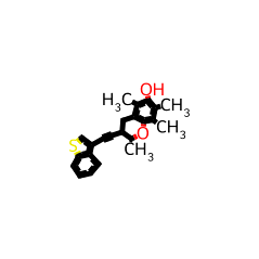 Cc1c(C)c2c(c(C)c1O)CC(C#Cc1csc3ccccc13)[C@H](C)O2